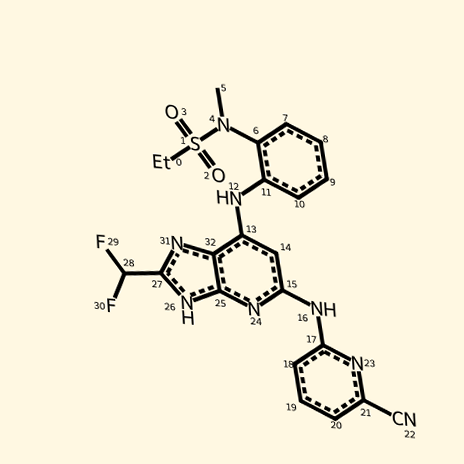 CCS(=O)(=O)N(C)c1ccccc1Nc1cc(Nc2cccc(C#N)n2)nc2[nH]c(C(F)F)nc12